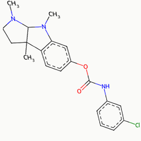 CN1CCC2(C)c3ccc(OC(=O)Nc4cccc(Cl)c4)cc3N(C)C12